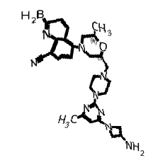 Bc1ccc2c(N3C[C@H](CN4CCN(c5nc(C)cc(N6CC(N)C6)n5)CC4)O[C@H](C)C3)ccc(C#N)c2n1